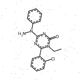 CCn1c(-c2ccccc2Cl)nc(N(N)c2ccccc2)nc1=O